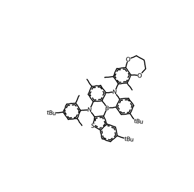 Cc1cc2c3c(c1)N(c1c(C)cc(C(C)(C)C)cc1C)c1sc4ccc(C(C)(C)C)cc4c1B3c1cc(C(C)(C)C)ccc1N2c1c(C)cc2c(c1C)OCCCO2